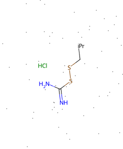 CC(C)CSSC(=N)N.Cl